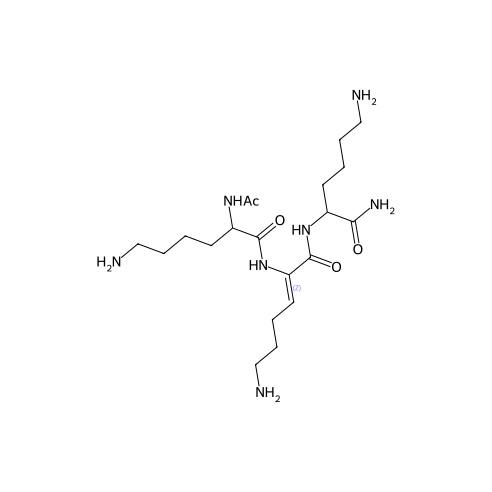 CC(=O)NC(CCCCN)C(=O)N/C(=C\CCCN)C(=O)NC(CCCCN)C(N)=O